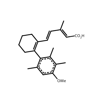 COc1cc(C)c(C2=C(C=CC(C)=CC(=O)O)CCCC2)c(C)c1C